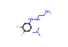 CN(C)C.NCCNNc1ccc(F)c(F)c1